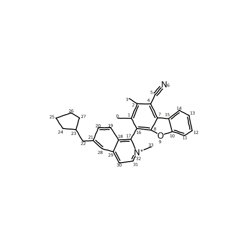 Cc1c(C)c(C#N)c2c(oc3ccccc32)c1-c1c2ccc(CC3CCCC3)cc2cc[n+]1C